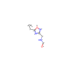 CCc1nc(CNC=O)no1